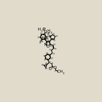 CCOC(=O)C[C@H](c1cccc(CC/C=C\c2onc(-c3cc(OC)ccc3F)c2C2=CCCC2(C)C)c1)C1CC1